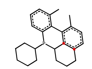 Cc1ccccc1-c1c(C)cccc1P(C1CCCCC1)C1CCCCC1